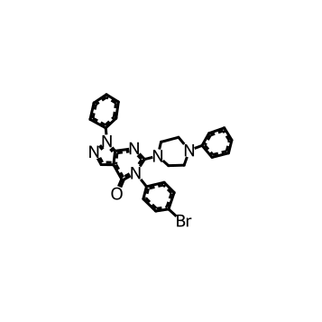 O=c1c2cnn(-c3ccccc3)c2nc(N2CCN(c3ccccc3)CC2)n1-c1ccc(Br)cc1